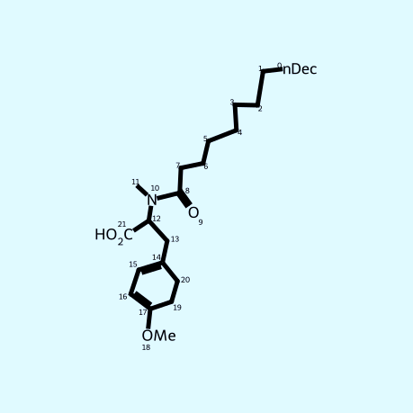 CCCCCCCCCCCCCCCCCC(=O)N(C)C(CC1=CC=C(OC)CC1)C(=O)O